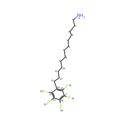 NCCCCCCCCCCCCCc1c(F)c(F)c(F)c(F)c1F